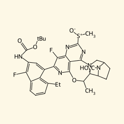 CCc1cccc2c(F)c(NC(=O)OC(C)(C)C)cc(-c3nc4c5c(nc([S+](C)[O-])nc5c3F)N3CC5CCC(C3C(C)O4)N5C(=O)O)c12